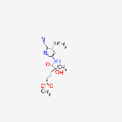 COC(=O)CCCC(C)(O)C(=O)Nc1cnc(C#N)c(SC)c1